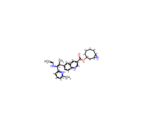 C=CN/C(=C(\C)c1ccc2ncc(C(=O)OC3CCCCC4=NC4C3)cc2c1)c1cccc(C)n1